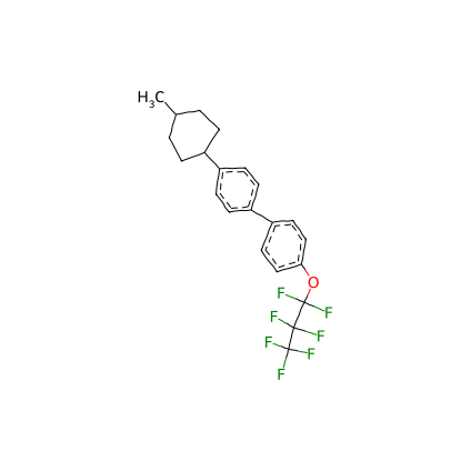 CC1CCC(c2ccc(-c3ccc(OC(F)(F)C(F)(F)C(F)(F)F)cc3)cc2)CC1